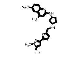 COc1ccc2nc(N[C@H]3CC[C@H](NCc4ccc(-c5cc(C(F)(F)F)n(C)n5)s4)C3)cc(C)c2c1